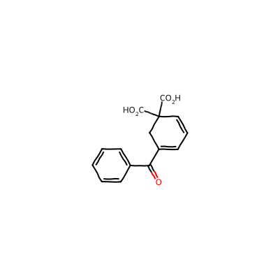 O=C(C1=CC=CC(C(=O)O)(C(=O)O)C1)c1ccccc1